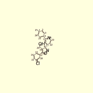 Cc1ccc(-c2cc(-c3noc(-c4cccc(Cl)c4)c3CO)ccn2)cc1